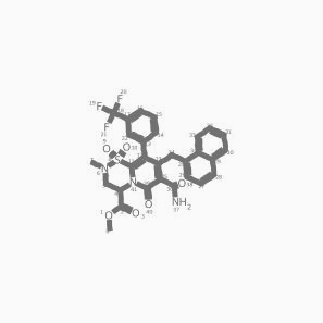 COC(=O)C1CN(C)S(=O)(=O)c2c(-c3cccc(C(F)(F)F)c3)c(Cc3cccc4ccccc34)c(C(N)=O)c(=O)n21